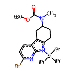 CC(C)[Si](C(C)C)(C(C)C)n1c2c(c3ccc(Br)nc31)CC(N(C)C(=O)OC(C)(C)C)CC2